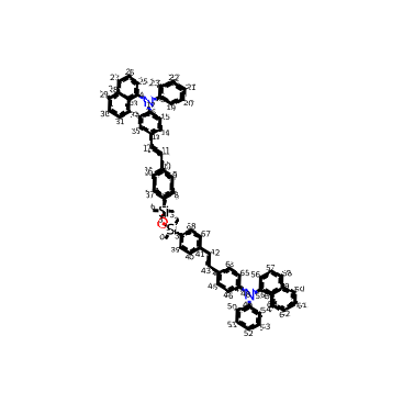 C[Si](C)(O[Si](C)(C)c1ccc(/C=C/c2ccc(N(c3ccccc3)c3cccc4ccccc34)cc2)cc1)c1ccc(/C=C/c2ccc(N(c3ccccc3)c3cccc4ccccc34)cc2)cc1